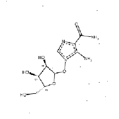 NC(=O)c1ncn(OC2O[C@H](CO)[C@@H](O)[C@H]2O)c1N